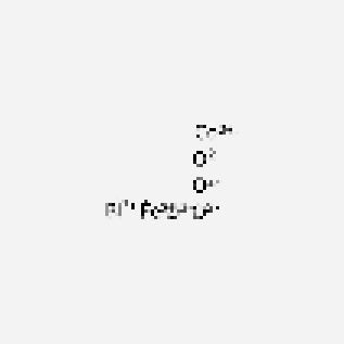 [Bi+3].[Co+2].[Fe+3].[O-2].[O-2].[O-2].[O-2]